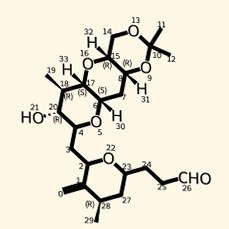 C=C1C(CC2O[C@H]3C[C@H]4OC(C)(C)OC[C@H]4O[C@H]3[C@H](C)[C@H]2O)OC(CCC=O)C[C@H]1C